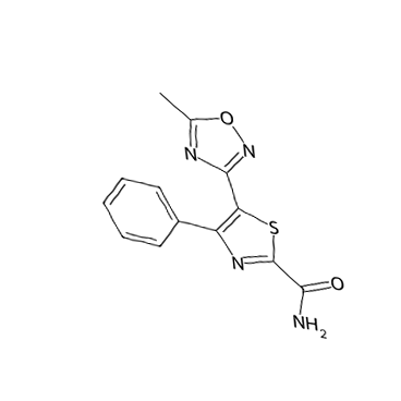 Cc1nc(-c2sc(C(N)=O)nc2-c2ccccc2)no1